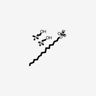 CCCCCCCCCCCCCCCCOP(=O)([O-])[O-].C[N+](C)(C)CCO.C[N+](C)(C)CCO